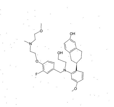 COCCN(C)CCOc1ccc(CN(CCO)c2cc(OC)ccc2[C@@H]2CCc3cc(O)ccc3C2)cc1F